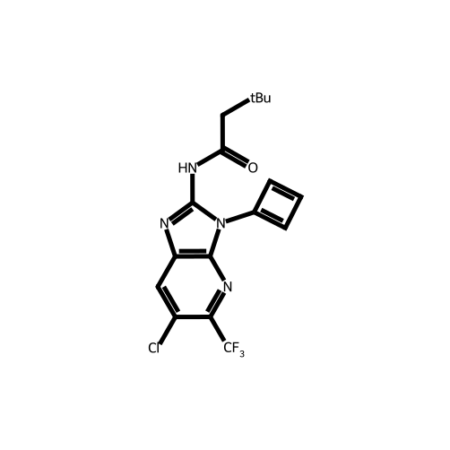 CC(C)(C)CC(=O)Nc1nc2cc(Cl)c(C(F)(F)F)nc2n1C1=CC=C1